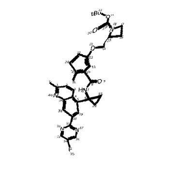 Cc1ccc2c(C3(NC(=O)c4cc(OC[C@@H]5CCN5C(=O)OC(C)(C)C)ccc4C)CC3)cc(-c3ncc(F)cn3)cc2n1